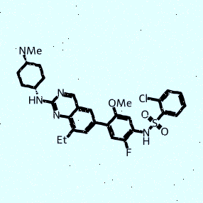 CCc1cc(-c2cc(F)c(NS(=O)(=O)c3ccccc3Cl)cc2OC)cc2cnc(N[C@H]3CC[C@H](NC)CC3)nc12